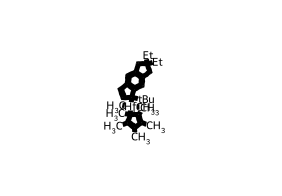 CCC1(CC)Cc2cc3c(cc2C1)[C](C(C)(C)C)([Hf]([CH3])([CH3])[C]1(C)C(C)=C(C)C(C)=C1C)C=C3